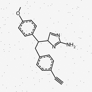 C#Cc1ccc(CC(c2ccc(OC)cc2)C2C=NC(N)=N2)cc1